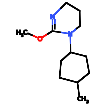 COC1=NCCCN1C1CCC(C)CC1